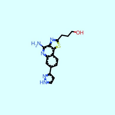 Nc1nc2cc(-c3cc[nH]n3)ccc2c2sc(CCCO)nc12